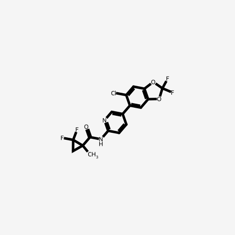 CC1(C(=O)Nc2ccc(-c3cc4c(cc3Cl)OC(F)(F)O4)cn2)CC1(F)F